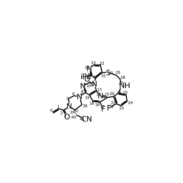 C=CC(=O)N1CCN(c2nc(=O)n3c4nc(c(F)cc24)-c2c(F)cccc2NCCSc2ccnc(C(C)C)c2-3)C[C@@H]1CC#N